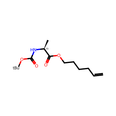 C=CCCCCOC(=O)[C@H](C)NC(=O)OC(C)(C)C